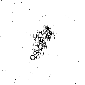 [2H]c1c(OC([2H])([2H])[2H])c(OC([2H])([2H])[2H])c([2H])c2c(N)nc(N3C([2H])([2H])CN(C(=O)C4([2H])COc5ccccc5O4)CC3([2H])[2H])nc12